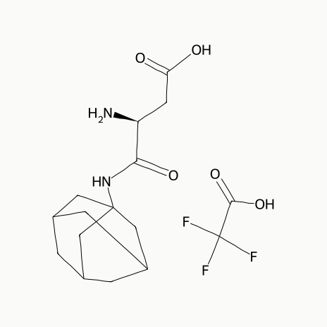 N[C@@H](CC(=O)O)C(=O)NC12CC3CC(CC(C3)C1)C2.O=C(O)C(F)(F)F